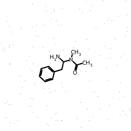 CC(=O)N(C)C(N)Cc1ccccc1